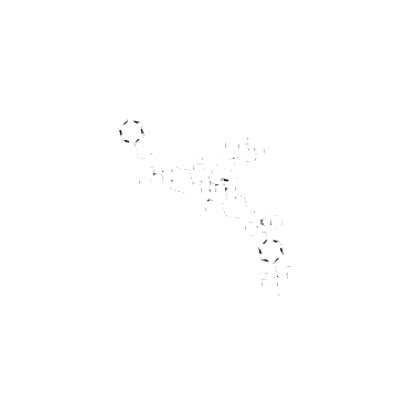 CC(C)(C)OC(=O)N1C[C@@H](OS(=O)(=O)c2ccc(C(F)(F)F)cc2)CC[C@H]1C(=O)NC1CCN(C(=O)OCc2ccccc2)CC1